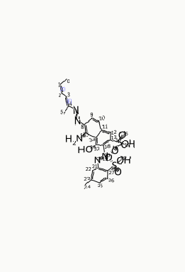 C/C=C\C=C(/C)N=Nc1ccc2cc(S(=O)(=O)O)c(N=Nc3cc(C)ccc3S(=O)(=O)O)c(O)c2c1N